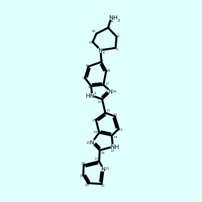 NC1CCN(c2ccc3[nH]c(-c4ccc5[nH]c(-c6ccccn6)nc5c4)nc3c2)CC1